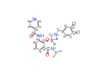 CC(C)N1CC2(CN(Cc3ccc(Cl)c(Cl)c3)C2)Oc2c(NC(=O)c3ccncc3)cccc2C1=O